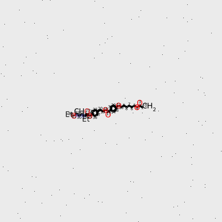 C=CC(=O)OCCCCCCOc1ccc(C(=O)OCCc2ccc(OC(=O)/C(=C/C=C(\C)OCC)CC)cc2)cc1